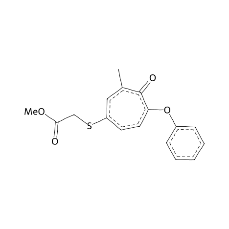 COC(=O)CSc1ccc(Oc2ccccc2)c(=O)c(C)c1